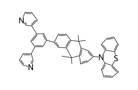 CC1(C)c2ccc(N3c4ccccc4Sc4ccccc43)cc2C(C)(C)c2ccc(-c3cc(-c4cccnc4)cc(-c4cccnc4)c3)cc21